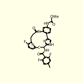 COC(=O)Nc1ccc2c(c1)NC(=O)CCc1nc(ccc1F)CC(NC(=O)c1c(F)cc(C)cc1F)c1nc-2c[nH]1